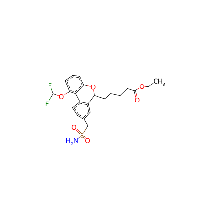 CCOC(=O)CCCCC1Oc2cccc(OC(F)F)c2-c2ccc(CS(N)(=O)=O)cc21